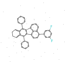 Fc1cc(F)cc(-c2ccc3c4c(cccc24)-c2c-3c(-c3ccccc3)c3c(c2-c2ccccc2)=CCCC=3)c1